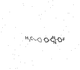 C=CC[C@H]1CC[C@H](c2ccc(-c3cnc(-c4ccc(F)cc4)nc3)cc2)CC1